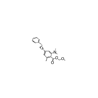 COCOC(=O)c1c(C)cc(OCc2ccccc2)cc1N(C)C